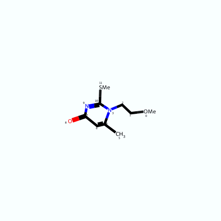 COCCn1c(C)cc(=O)nc1SC